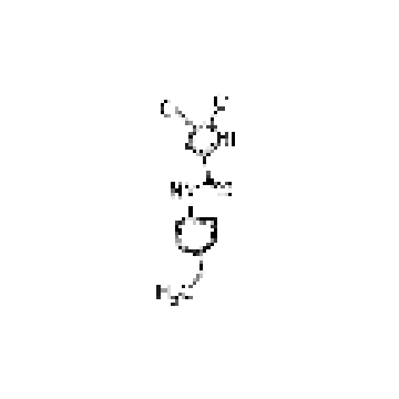 CCc1ccc(NC(=O)c2cc(Cl)c(Cl)[nH]2)cc1